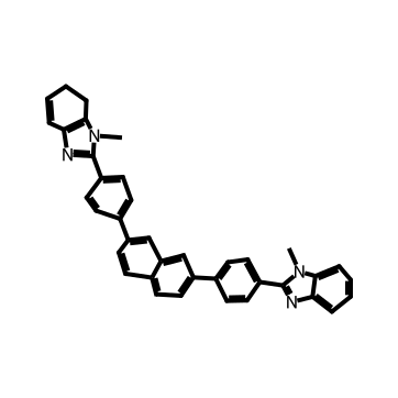 Cn1c(-c2ccc(-c3ccc4ccc(-c5ccc(-c6nc7ccccc7n6C)cc5)cc4c3)cc2)nc2c1CCC=C2